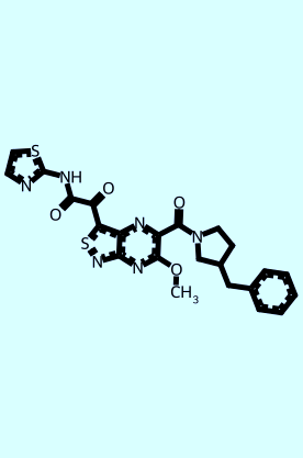 COc1nc2nsc(C(=O)C(=O)Nc3nccs3)c2nc1C(=O)N1CCC(Cc2ccccc2)C1